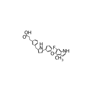 Cc1c(Oc2cccc(-c3ccc(Cc4cccc(CCC(=O)O)c4)[nH]3)c2)c(F)cc2[nH]ccc12